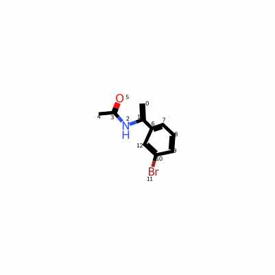 C=C(NC(C)=O)c1cccc(Br)c1